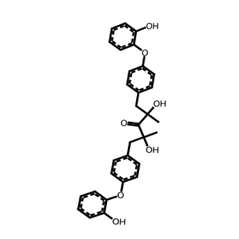 CC(O)(Cc1ccc(Oc2ccccc2O)cc1)C(=O)C(C)(O)Cc1ccc(Oc2ccccc2O)cc1